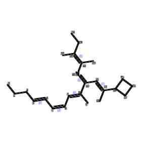 CCC/C=C/C=C\C=C(/C)C(/C=C(\C)C1CCC1)=N/C(C)=C(\C)CC